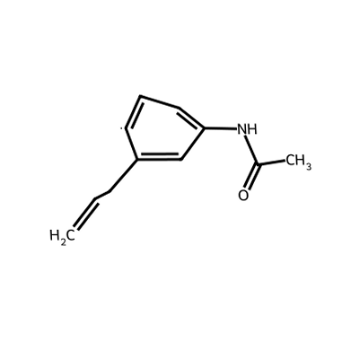 C=CCc1[c]ccc(NC(C)=O)c1